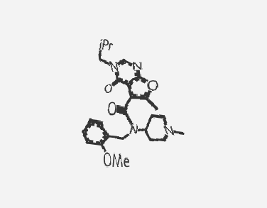 COc1ccccc1CN(C(=O)c1c(C)oc2ncn(CC(C)C)c(=O)c12)C1CCN(C)CC1